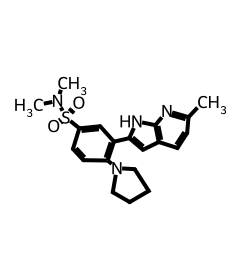 Cc1ccc2cc(-c3cc(S(=O)(=O)N(C)C)ccc3N3CCCC3)[nH]c2n1